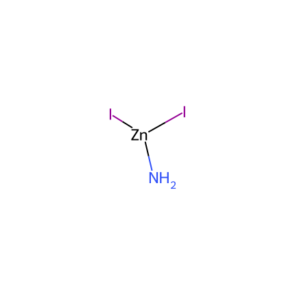 [NH2][Zn]([I])[I]